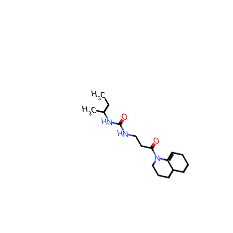 CCC(C)NC(=O)NCCC(=O)N1CCCC2CCCC=C21